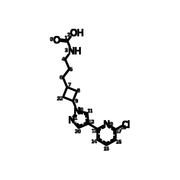 O=C(O)NCCCC1CC(n2cc(-c3cccc(Cl)n3)cn2)C1